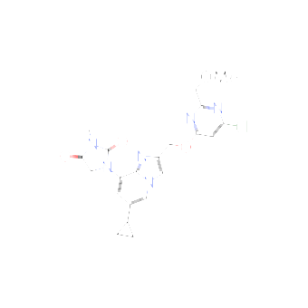 COCc1nc(Cl)cc(OCc2cn3cc(C4CC4)cc(N4CC(=O)N(C)C4=O)c3n2)n1